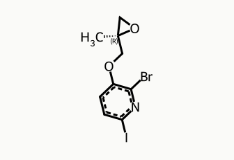 C[C@]1(COc2ccc(I)nc2Br)CO1